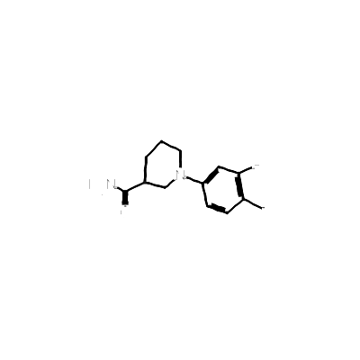 NC(=O)C1CCCN(c2ccc(F)c(F)c2)C1